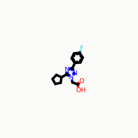 O=C(O)Cn1nc(-c2ccc(F)cc2)nc1C1CCCC1